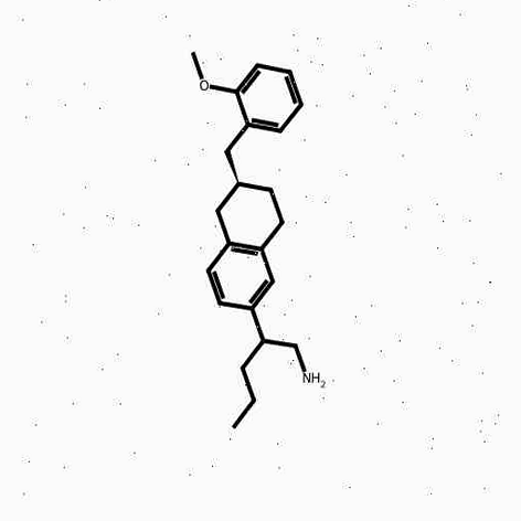 CCCC(CN)c1ccc2c(c1)CC[C@H](Cc1ccccc1OC)C2